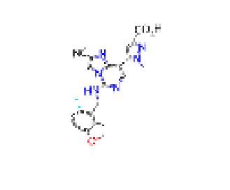 Cn1nc(C(=O)O)cc1-c1cnc(NCc2c(F)ccc3c2CCO3)n2cc(C#N)nc12